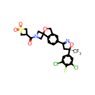 O=C(C1CS(=O)(=O)C1)N1CC2(C1)OCc1cc(C3=NO[C@](c4cc(Cl)c(F)c(Cl)c4)(C(F)(F)F)C3)ccc12